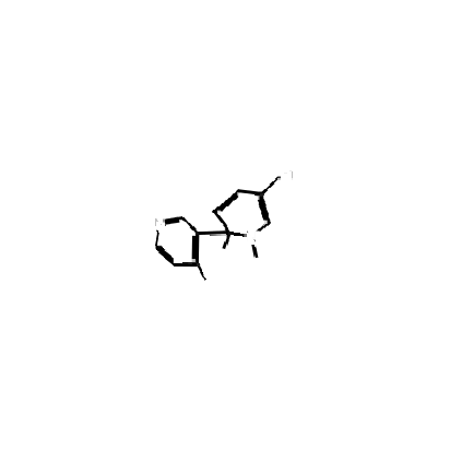 Cc1ccncc1C1(C)C=CC(C(C)C)=CN1C